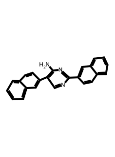 Nc1nc(-c2ccc3ccccc3c2)ncc1-c1ccc2ccccc2c1